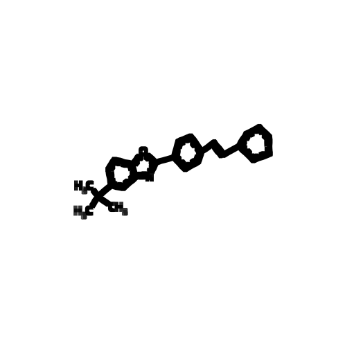 CC(C)(C)c1ccc2oc(-c3ccc(C=Cc4ccccc4)cc3)nc2c1